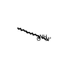 CCCCCC/C=C/CCCCCCCC(=O)NCCC[N+](C)(C)C